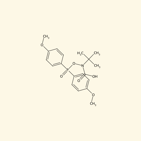 COc1ccc(P(=O)(ON(C(=O)O)C(C)(C)C)c2ccc(OC)cc2)cc1